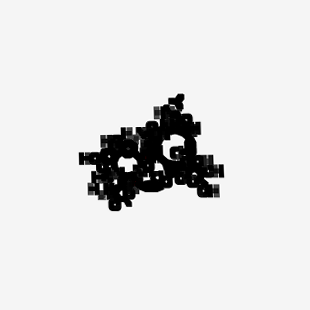 CN[C@H](CC(C)C)C(=O)N[C@@H]1C(=O)N[C@H](CC(N)=O)C(=O)N[C@H]2C(=O)N[C@H]3C(=O)N[C@H](C(=O)N[C@H](C(=O)O)c4cc(O)cc(O)c4-c4cc3ccc4O)[C@@H](O[C@@H]3C[C@@](C)(N)C(=O)[C@H](C)O3)c3ccc(c(Cl)c3)Oc3cc2cc(c3O[C@@H]2O[C@H](CO)[C@@H](O)[C@H](O)[C@H]2O)Oc2ccc(cc2Cl)[C@@H]1O